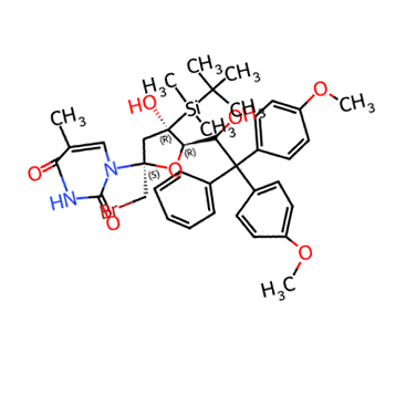 COc1ccc(C(c2ccccc2)(c2ccc(OC)cc2)C(O)[C@H]2O[C@@](CBr)(n3cc(C)c(=O)[nH]c3=O)C[C@@]2(O)[Si](C)(C)C(C)(C)C)cc1